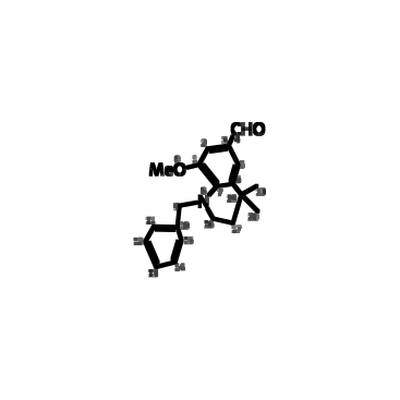 COc1cc(C=O)cc2c1N(Cc1ccccc1)CCC2(C)C